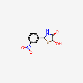 O=C1NC(c2cccc([N+](=O)[O-])c2)SC1O